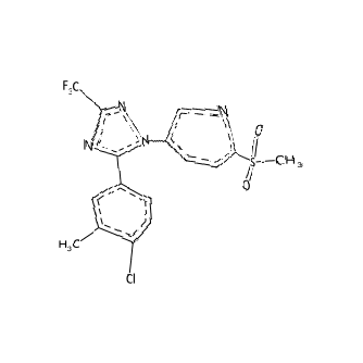 Cc1cc(-c2nc(C(F)(F)F)nn2-c2ccc(S(C)(=O)=O)nc2)ccc1Cl